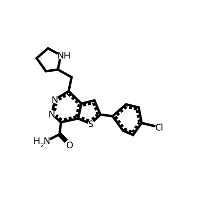 NC(=O)c1nnc(CC2CCCN2)c2cc(-c3ccc(Cl)cc3)sc12